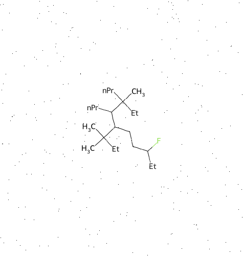 CCCC(C(CCC(F)CC)C(C)(C)CC)C(C)(CC)CCC